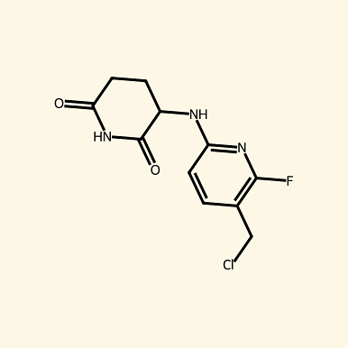 O=C1CCC(Nc2ccc(CCl)c(F)n2)C(=O)N1